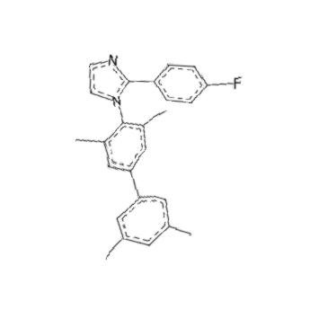 Cc1cc(C)cc(-c2cc(C)c(-n3ccnc3-c3ccc(F)cc3)c(C)c2)c1